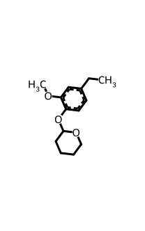 CCc1ccc(OC2CCCCO2)c(OC)c1